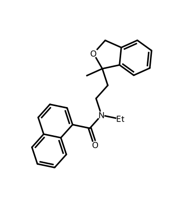 CCN(CCC1(C)OCc2ccccc21)C(=O)c1cccc2ccccc12